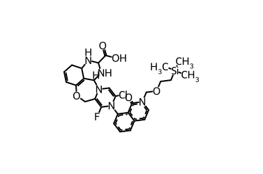 C[Si](C)(C)CCOCn1ccc2cccc(N3C(Cl)=CN4C(=C3F)COC3=C5C(CC=C3)NC(C(=O)O)N[C@H]54)c2c1=O